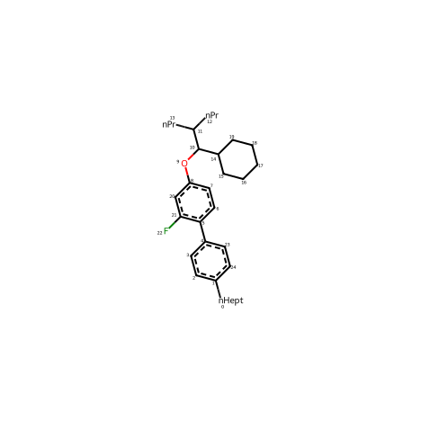 CCCCCCCc1ccc(-c2ccc(OC(C(CCC)CCC)C3CCCCC3)cc2F)cc1